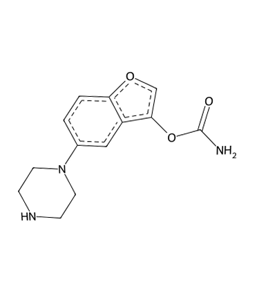 NC(=O)Oc1coc2ccc(N3CCNCC3)cc12